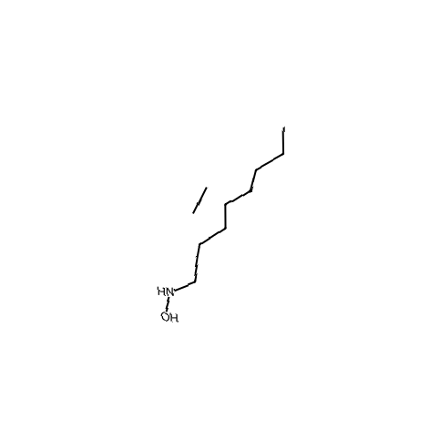 CC.CCCCCCCCNO